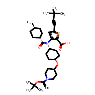 C=C(OC(C)(C)C)N1CCC(O[C@H]2CC[C@H](N(c3cc(C#CC(C)(C)C)sc3C(=O)O)C(=O)[C@H]3CC[C@H](C)CC3)CC2)CC1